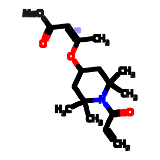 C=CC(=O)N1C(C)(C)CC(O/C(C)=C\C(=O)OC)CC1(C)C